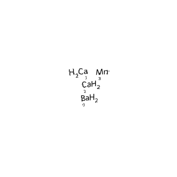 [BaH2].[CaH2].[CaH2].[Mn]